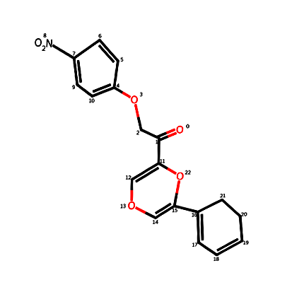 O=C(COc1ccc([N+](=O)[O-])cc1)C1=COC=C(C2=CC=CCC2)O1